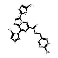 Cc1ncc(CNC(=O)c2cc(-n3nncc3C(F)(F)F)c3ncc(-c4ncc(C)s4)n3c2)cn1